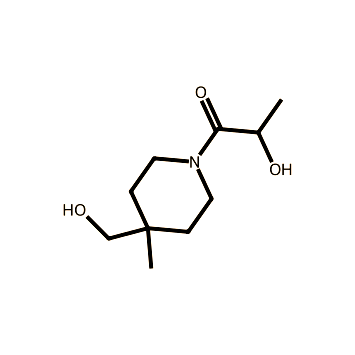 CC(O)C(=O)N1CCC(C)(CO)CC1